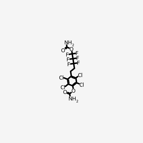 NC(=O)Oc1c(Cl)c(Cl)c(CCC(F)(F)C(F)(F)C(F)(F)OC(N)=O)c(Cl)c1Cl